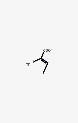 O=C([O-])/C(I)=C/I.[Tl+]